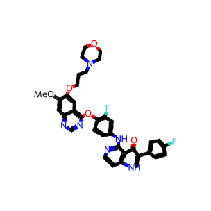 COc1cc2ncnc(Oc3ccc(Nc4nccc5[nH]cc(-c6ccc(F)cc6)c(=O)c45)cc3F)c2cc1OCCCN1CCOCC1